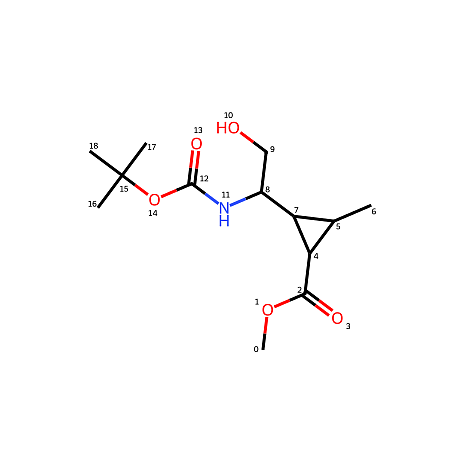 COC(=O)C1C(C)C1C(CO)NC(=O)OC(C)(C)C